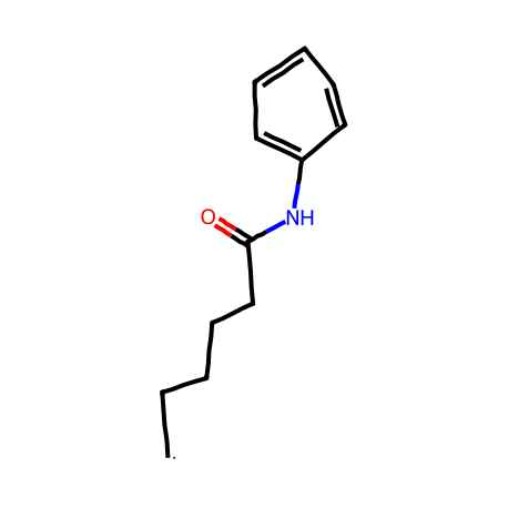 [CH2]CCCCC(=O)Nc1ccccc1